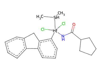 C[SiH](C)[Hf]([Cl])([Cl])([NH]C(=O)C1CCCC1)[c]1cccc2c1Cc1ccccc1-2